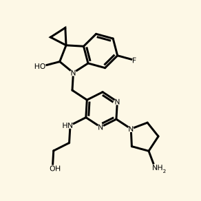 NC1CCN(c2ncc(CN3c4cc(F)ccc4C4(CC4)C3O)c(NCCO)n2)C1